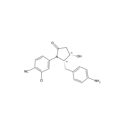 N#Cc1ccc(N2C(=O)C[C@H](O)[C@@H]2Cc2ccc(N)cc2)cc1Cl